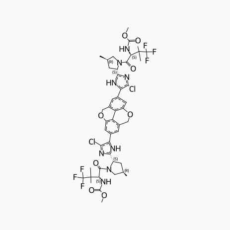 COC(=O)N[C@H](C(=O)N1C[C@H](C)C[C@H]1c1nc(Cl)c(-c2cc3c4c(c2)OCc2cc(-c5[nH]c([C@@H]6C[C@@H](C)CN6C(=O)[C@@H](NC(=O)OC)C(C)(C)C(F)(F)F)nc5Cl)cc(c2-4)OC3)[nH]1)C(C)(C)C(F)(F)F